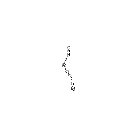 c1ccc(N2CCN(CCCOCCc3cc(CCc4ccc(N5CCN(CCCCOCc6ccon6)CC5)cc4)on3)CC2)cc1